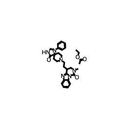 CCOC(C)=O.CN1CC(CCN2CCC3(CC2)C(=O)NCN3c2ccccc2)c2nc3ccccc3n2C1=O